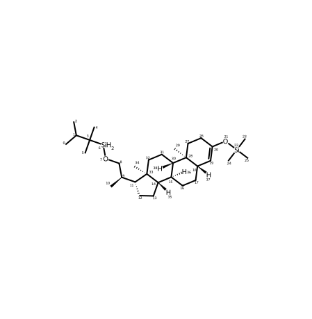 CC(C)C(C)(C)[SiH2]OC[C@H](C)[C@H]1CC[C@H]2[C@@H]3CC[C@H]4C=C(O[Si](C)(C)C)CC[C@]4(C)[C@H]3CC[C@]12C